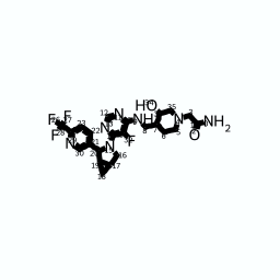 NC(=O)CN1CCC(CNc2ncnc(N3CC4CC4C3c3ccc(C(F)(F)F)nc3)c2F)C(O)C1